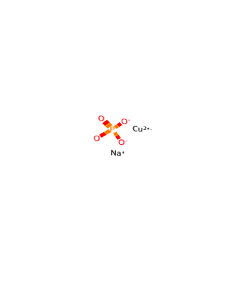 O=P([O-])([O-])[O-].[Cu+2].[Na+]